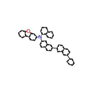 c1ccc(-c2ccc3ccc(-c4ccc5ccc(N(c6ccc7c(c6)oc6ccccc67)c6cccc7ccccc67)cc5c4)cc3c2)cc1